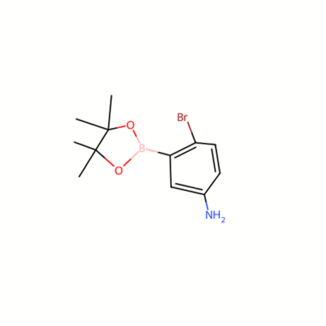 CC1(C)OB(c2cc(N)ccc2Br)OC1(C)C